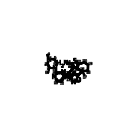 C[C@H]1CN(C)CCN1c1nccc(-c2cc([C@@]3(C)CCCc4sc(N)c(C#N)c43)on2)n1